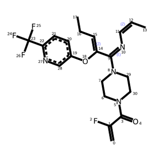 C=C(F)C(=O)N1CCN(C(=N/C=C\C)/C(=C/CC)Oc2ccc(C(F)(F)F)nc2)CC1